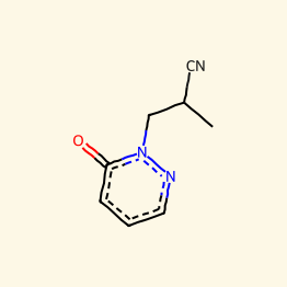 CC(C#N)Cn1ncccc1=O